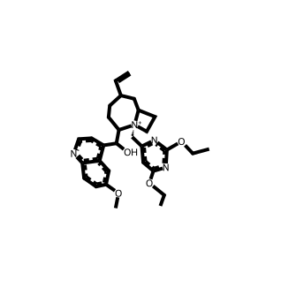 C=CC1CCC(C(O)c2ccnc3ccc(OC)cc23)[N@+]2(Cc3cc(OCC)nc(OCC)n3)CCC2C1